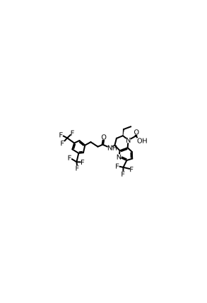 CC[C@@H]1C[C@H](NC(=O)CCc2cc(C(F)(F)F)cc(C(F)(F)F)c2)c2nc(C(F)(F)F)ccc2N1C(=O)O